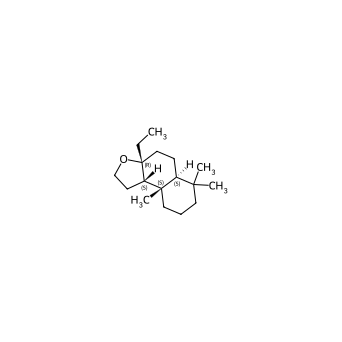 CC[C@@]12CC[C@H]3C(C)(C)CCC[C@]3(C)[C@@H]1CCO2